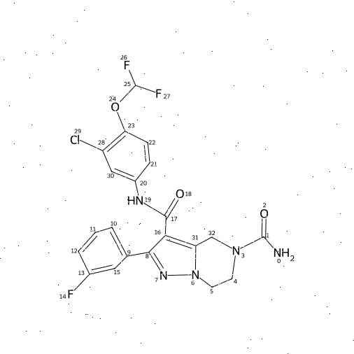 NC(=O)N1CCn2nc(-c3cccc(F)c3)c(C(=O)Nc3ccc(OC(F)F)c(Cl)c3)c2C1